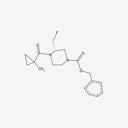 CC1(C(=O)N2CCN(C(=O)OCc3ccccc3)C[C@H]2CF)CC1